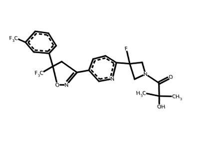 CC(C)(O)C(=O)N1CC(F)(c2ccc(C3=NOC(c4cccc(C(F)(F)F)c4)(C(F)(F)F)C3)cn2)C1